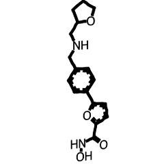 O=C(NO)c1ccc(-c2ccc(CNCC3CCCO3)cc2)o1